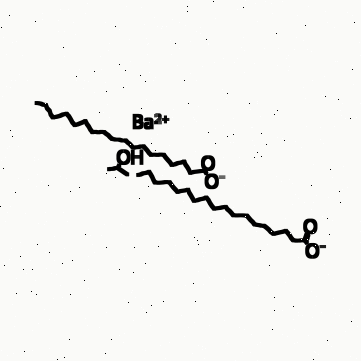 CC(C)O.CCCCCCCCCCCCCCCCCC(=O)[O-].CCCCCCCCCCCCCCCCCC(=O)[O-].[Ba+2]